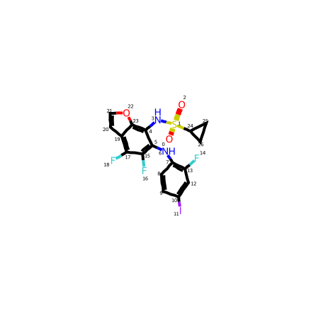 O=S(=O)(Nc1c(Nc2ccc(I)cc2F)c(F)c(F)c2ccoc12)C1CC1